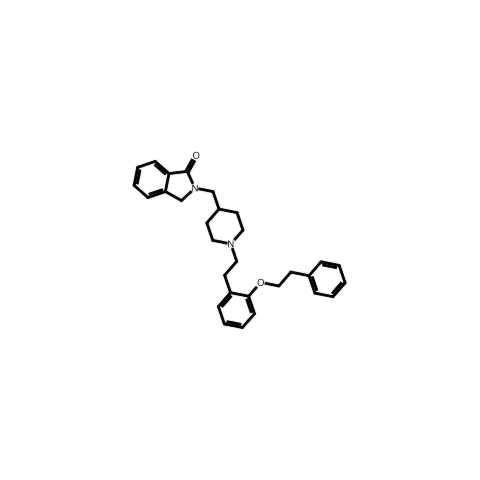 O=C1c2ccccc2CN1CC1CCN(CCc2ccccc2OCCc2ccccc2)CC1